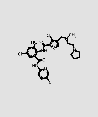 CN(CCN1CCCC1)Cc1csc(C(=O)Nc2c(O)cc(Cl)cc2C(=O)Nc2ccc(Cl)cn2)c1Cl